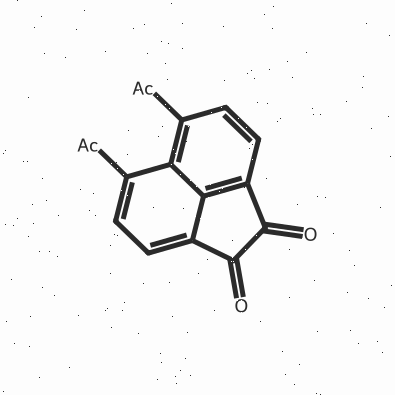 CC(=O)c1ccc2c3c(ccc(C(C)=O)c13)C(=O)C2=O